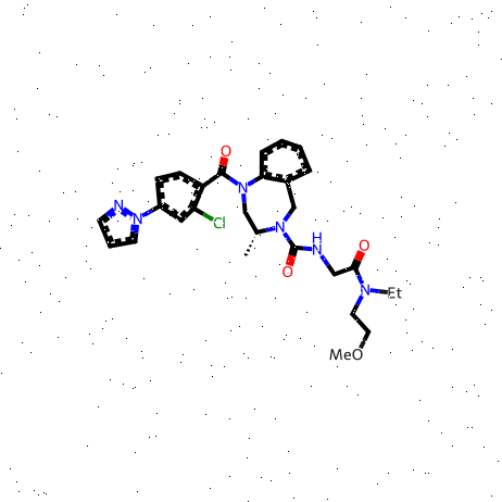 CCN(CCOC)C(=O)CNC(=O)N1Cc2ccccc2N(C(=O)c2ccc(-n3cccn3)cc2Cl)C[C@H]1C